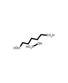 CCCCCCCCCCCCCC(=O)O.O=S(=O)(O)O